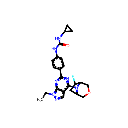 O=C(Nc1ccc(-c2nc(N3C4COCC3C(F)C4)c3cnn(CC(F)(F)F)c3n2)cc1)NC1CC1